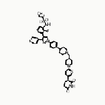 CCCS(=O)(=O)Nc1cccc(-c2cn(-c3ccc(C4CCN(CC5CCN(c6ccc([C@@H]7CCC(=O)NC7=O)cn6)CC5)CC4)cc3)nc2-c2ccncc2)c1F